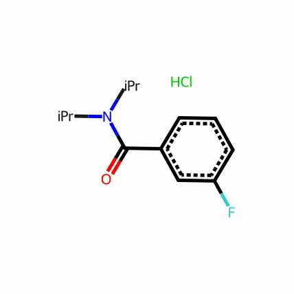 CC(C)N(C(=O)c1cccc(F)c1)C(C)C.Cl